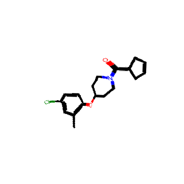 Cc1cc(Cl)ccc1OC1CCN(C(=O)C2CC=CC2)CC1